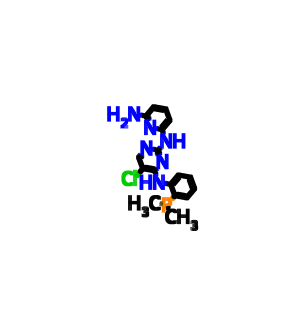 CP(C)c1ccccc1Nc1nc(Nc2cccc(N)n2)ncc1Cl